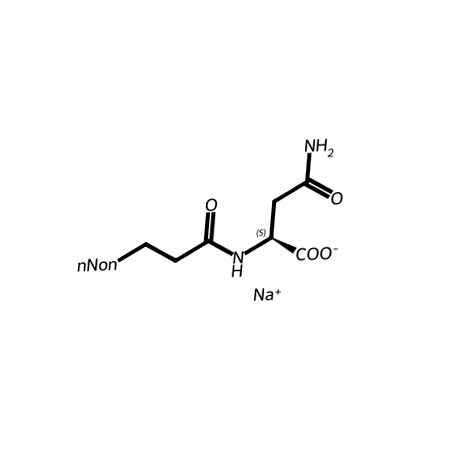 CCCCCCCCCCCC(=O)N[C@@H](CC(N)=O)C(=O)[O-].[Na+]